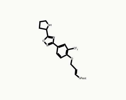 CCCCC/C=C/COc1ccc(-c2noc(C3CCCN3)n2)cc1C(F)(F)F